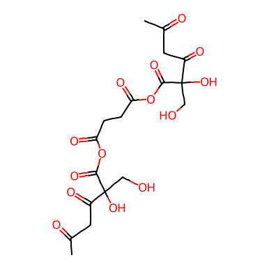 CC(=O)CC(=O)C(O)(CO)C(=O)OC(=O)CCC(=O)OC(=O)C(O)(CO)C(=O)CC(C)=O